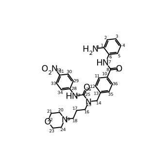 Nc1ccccc1NC(=O)c1ccc(CN(CCCN2CCOCC2)C(=O)Nc2ccc([N+](=O)[O-])cc2)cc1